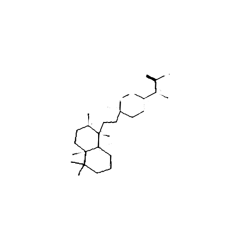 C[C@H](C(=O)O)[C@@H]1CC[C@@](C)(CC[C@@]2(O)[C@H](C)CC[C@@]3(C)C(C)(C)CCC[C@]23C)OO1